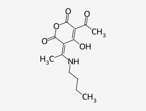 CCCCNC(C)=C1C(=O)OC(=O)C(C(C)=O)=C1O